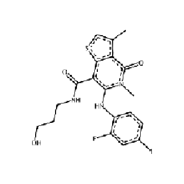 Cc1csc2c(C(=O)NCCCO)c(Nc3ccc(I)cc3F)n(C)c(=O)c12